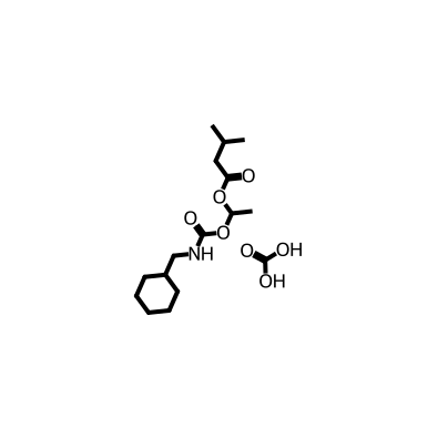 CC(C)CC(=O)OC(C)OC(=O)NCC1CCCCC1.O=C(O)O